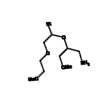 CCC(COCCOC)OC(CN)COC